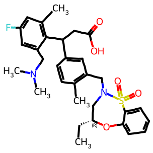 CC[C@@H]1CN(Cc2cc(C(CC(=O)O)c3c(C)cc(F)cc3CN(C)C)ccc2C)S(=O)(=O)c2ccccc2O1